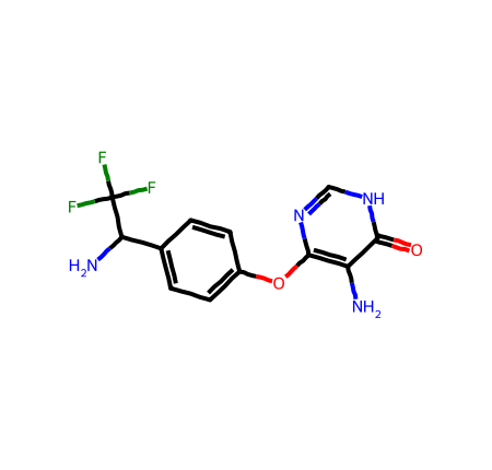 Nc1c(Oc2ccc(C(N)C(F)(F)F)cc2)nc[nH]c1=O